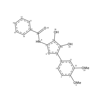 COc1ccc(-c2oc(NC(=O)c3ccccc3)c(O)c2O)cc1OC